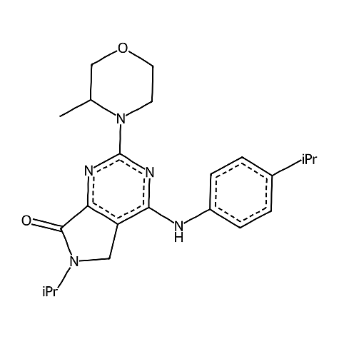 CC(C)c1ccc(Nc2nc(N3CCOCC3C)nc3c2CN(C(C)C)C3=O)cc1